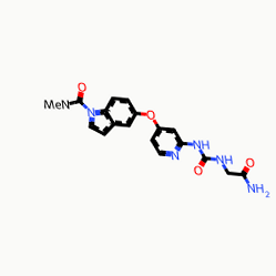 CNC(=O)n1ccc2cc(Oc3ccnc(NC(=O)NCC(N)=O)c3)ccc21